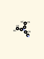 N#Cc1cc(C#N)cc(-c2ccc3c(c2)c2cc(-c4cc(C#N)cc(C#N)c4)ccc2n3-c2ccc(-c3ccncc3)c(C#N)c2)c1